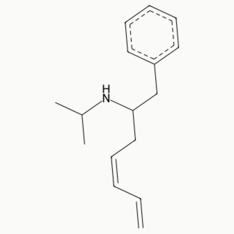 C=C/C=C\CC(Cc1ccccc1)NC(C)C